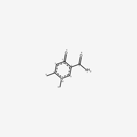 Cc1cc(=O)c(C(N)=O)cn1C